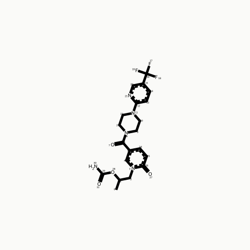 CC(Cn1cc(C(=O)N2CCN(c3ccc(C(F)(F)F)cn3)CC2)ccc1=O)OC(N)=O